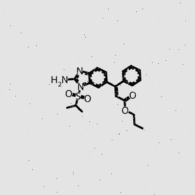 CCCOC(=O)C=C(c1ccccc1)c1ccc2nc(N)n(S(=O)(=O)C(C)C)c2c1